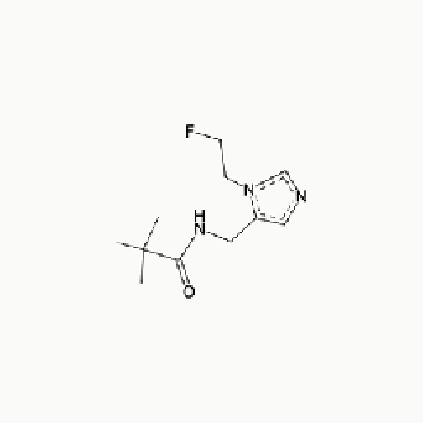 CC(C)(C)C(=O)NCc1cncn1CCF